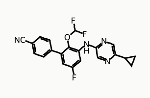 N#Cc1ccc(-c2cc(F)cc(Nc3cnc(C4CC4)cn3)c2OC(F)F)cc1